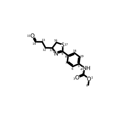 COC(=O)Nc1ccc(C2=NC(CCC=O)CS2)cc1